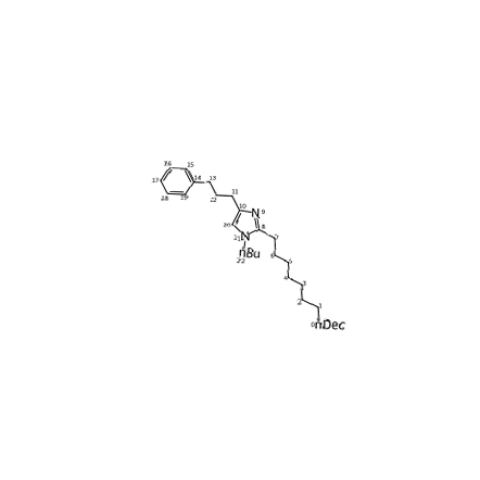 CCCCCCCCCCCCCCCCCc1nc(CCCc2ccccc2)cn1CCCC